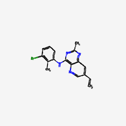 C=Cc1cnc2c(Nc3cccc(Br)c3C)nc(C)nc2c1